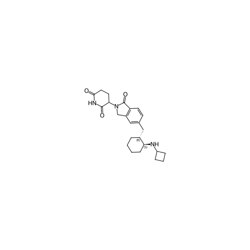 O=C1CCC(N2Cc3cc(C[C@H]4CCCC[C@@H]4NC4CCC4)ccc3C2=O)C(=O)N1